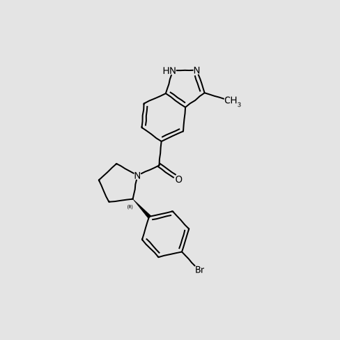 Cc1n[nH]c2ccc(C(=O)N3CCC[C@@H]3c3ccc(Br)cc3)cc12